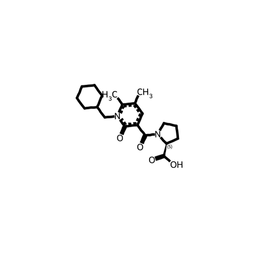 Cc1cc(C(=O)N2CCC[C@H]2C(=O)O)c(=O)n(CC2CCCCC2)c1C